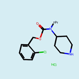 CCCN(C(=O)OCc1ccccc1Cl)C1CCNCC1.Cl